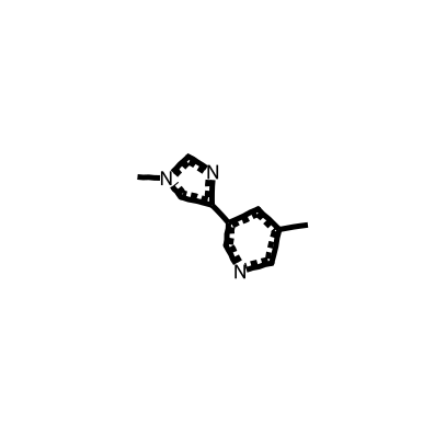 Cc1cncc(-c2cn(C)cn2)c1